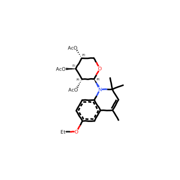 CCOc1ccc2c(c1)C(C)=CC(C)(C)N2[C@@H]1OC[C@@H](OC(C)=O)[C@H](OC(C)=O)[C@H]1OC(C)=O